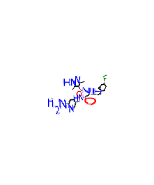 Cc1n[nH]c(C)c1C(=O)N[C@@H](Cc1ccc(F)cc1)C(=O)NCc1ccc(N)nc1